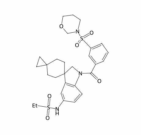 CCS(=O)(=O)Nc1ccc2c(c1)C1(CCC3(CC3)CC1)CN2C(=O)c1cccc(S(=O)(=O)N2CCCOC2)c1